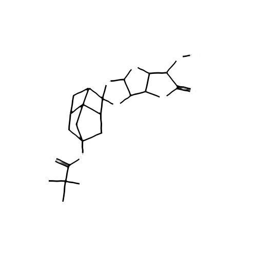 CCOC(=O)OC1C(=O)OC2C3OC4(OC3OC12)C1CC2CC4CC(OC(=O)C(C)(F)F)(C2)C1